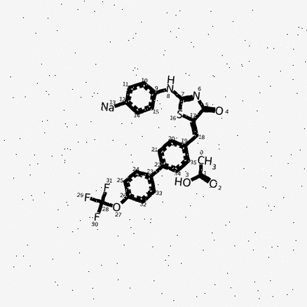 CC(=O)O.O=C1N=C(Nc2cc[c]([Na])cc2)SC1=Cc1ccc(-c2ccc(OC(F)(F)F)cc2)cc1